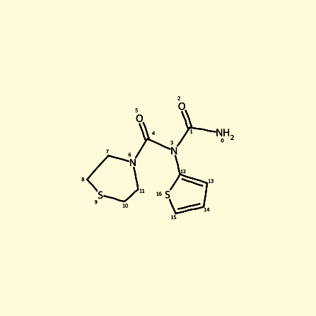 NC(=O)N(C(=O)N1CCSCC1)c1cccs1